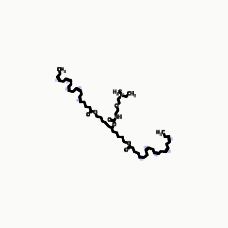 CC/C=C\C/C=C\C/C=C\C/C=C\C/C=C\CCCC(=O)OCCCCCC(CCCCCOC(=O)CCC/C=C\C/C=C\C/C=C\C/C=C\C/C=C\CC)OC(=O)NCCOCCN(C)CC